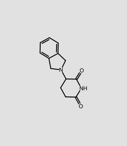 O=C1CCC(N2Cc3ccccc3C2)C(=O)N1